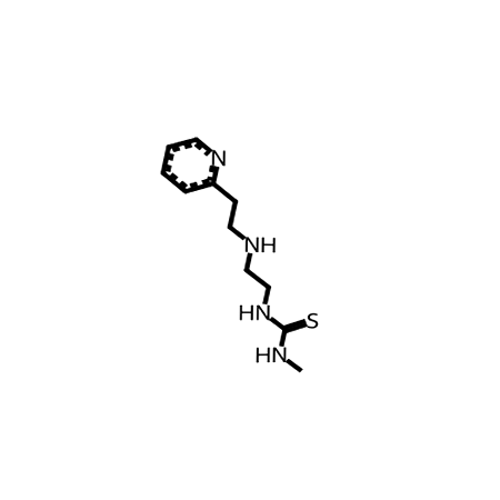 CNC(=S)NCCNCCc1ccccn1